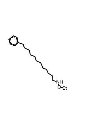 CCONCCCCCCCCCCCCc1ccccc1